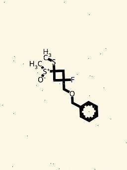 CSC1([S+](C)[O-])CC(F)(COCc2ccccc2)C1